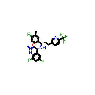 CNC(=O)[C@H](N[C@@H](CCc1ccc(C(F)(F)F)nc1)c1ccc(F)c(C)c1)c1cc(F)cc(F)c1